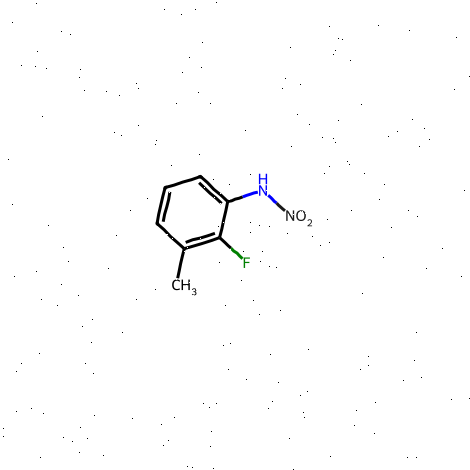 Cc1cccc(N[N+](=O)[O-])c1F